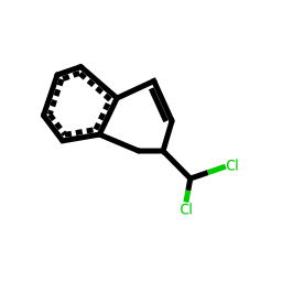 ClC(Cl)[C]1C=Cc2ccccc2C1